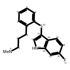 CNCCCc1ccccc1Sc1c[nH]c2cc(F)ccc12